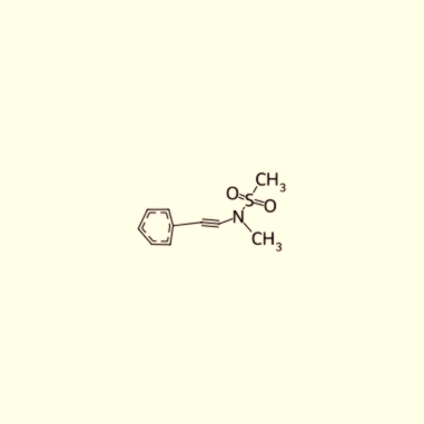 CN(C#Cc1ccccc1)S(C)(=O)=O